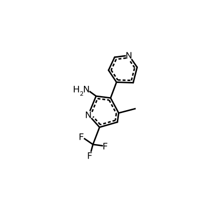 Cc1cc(C(F)(F)F)nc(N)c1-c1ccncc1